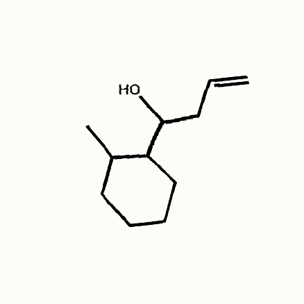 C=CCC(O)C1CCCCC1C